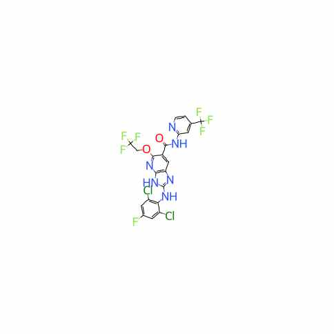 O=C(Nc1cc(C(F)(F)F)ccn1)c1cc2nc(Nc3c(Cl)cc(F)cc3Cl)[nH]c2nc1OCC(F)(F)F